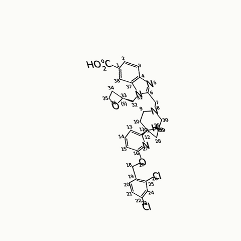 O=C(O)c1ccc2nc(CN3CC[C@@]4(c5cccc(OCc6ccc(Cl)cc6Cl)n5)C[C@H]4C3)n(C[C@@H]3CCO3)c2c1